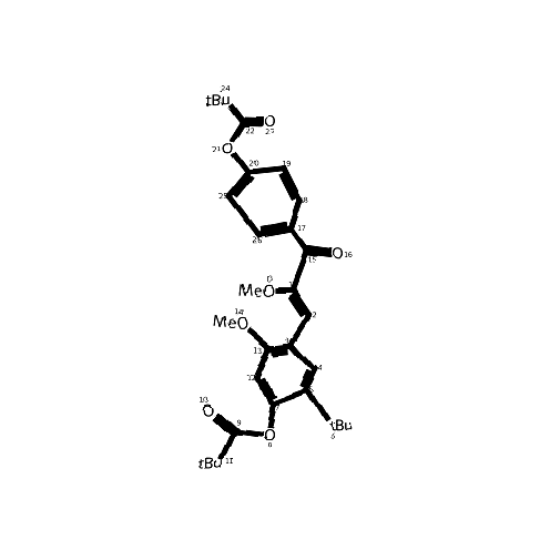 COC(=Cc1cc(C(C)(C)C)c(OC(=O)C(C)(C)C)cc1OC)C(=O)c1ccc(OC(=O)C(C)(C)C)cc1